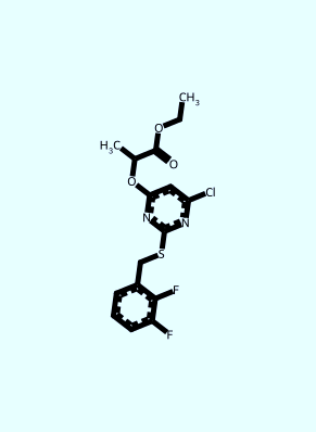 CCOC(=O)C(C)Oc1cc(Cl)nc(SCc2cccc(F)c2F)n1